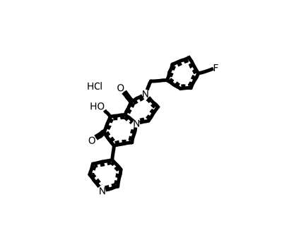 Cl.O=c1c(-c2ccncc2)cn2ccn(Cc3ccc(F)cc3)c(=O)c2c1O